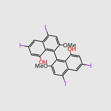 COc1cc(I)c2cc(I)cc(O)c2c1-c1c(OC)cc(I)c2cc(I)cc(O)c12